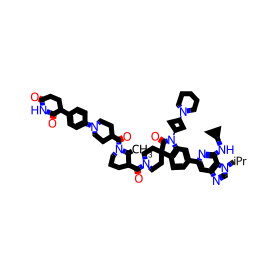 CC1C(C(=O)N2CCC3(CC2)C(=O)N([C@H]2C[C@@H](N4CCCCC4)C2)c2cc(-c4cc5ncn(C(C)C)c5c(NC5CC5)n4)ccc23)CCCN1C(=O)C1CCN(c2ccc(C3CCC(=O)NC3=O)cc2)CC1